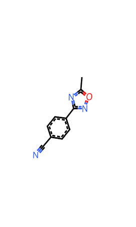 Cc1nc(-c2ccc(C#N)cc2)no1